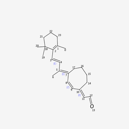 CC1=C(/C=C/C(C)=C2/C=C\C(=C\C=O)CCCC2)C(C)(C)CCC1